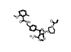 C=CC(=O)N1CCC[C@@H](n2nc(-c3ccc(CNC(=O)c4c(C)cccc4OC)cc3)c3c(N)ncnc32)C1